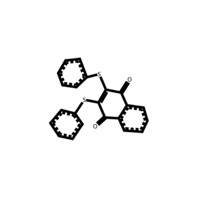 O=C1C(Sc2ccccc2)=C(Sc2ccccc2)C(=O)c2ccccc21